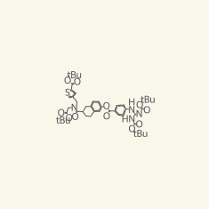 CC(C)(C)OC(=O)CN(Cc1csc(C(=O)OC(C)(C)C)c1)C(=O)C1CCc2cc(OC(=O)c3ccc(NC(=NC(=O)OC(C)(C)C)NC(=O)OC(C)(C)C)cc3)ccc2C1